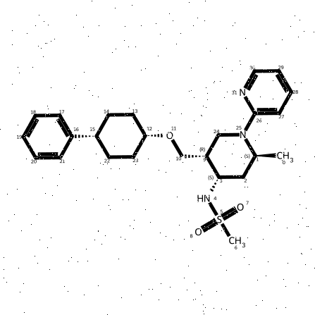 C[C@H]1C[C@H](NS(C)(=O)=O)[C@H](CO[C@H]2CC[C@@H](c3ccccc3)CC2)CN1c1ccccn1